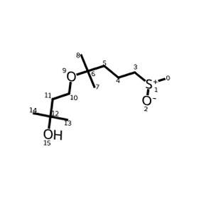 C[S+]([O-])CCCC(C)(C)OCCC(C)(C)O